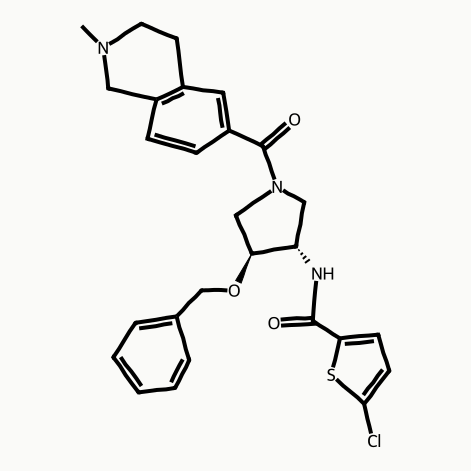 CN1CCc2cc(C(=O)N3C[C@H](NC(=O)c4ccc(Cl)s4)[C@@H](OCc4ccccc4)C3)ccc2C1